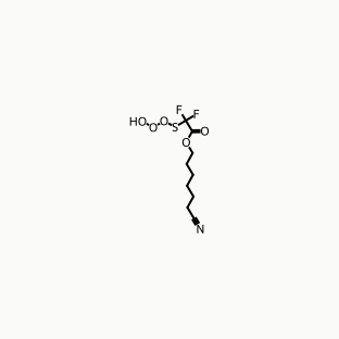 N#CCCCCCCOC(=O)C(F)(F)SOOO